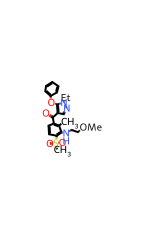 CCn1ncc(C(=O)c2ccc(S(C)(=O)=O)c(NCCOC)c2C)c1Oc1ccccc1